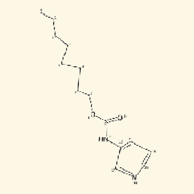 CCCCCCCCOC(=O)Nc1cccnc1